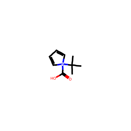 CC(C)(C)[N+]1(C(=O)O)C=CC=C1